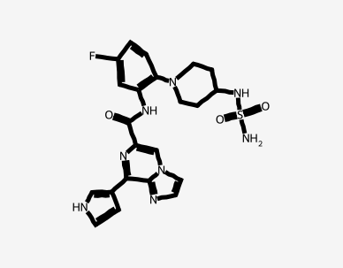 NS(=O)(=O)NC1CCN(c2ccc(F)cc2NC(=O)c2cn3ccnc3c(-c3cc[nH]c3)n2)CC1